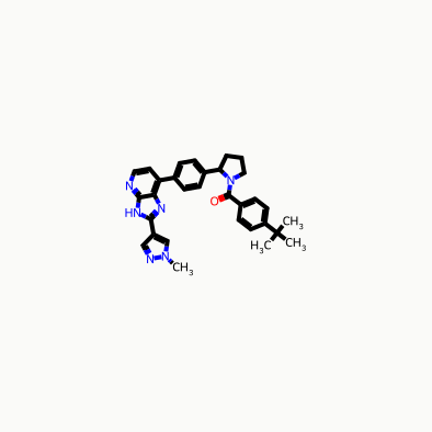 Cn1cc(-c2nc3c(-c4ccc(C5CCCN5C(=O)c5ccc(C(C)(C)C)cc5)cc4)ccnc3[nH]2)cn1